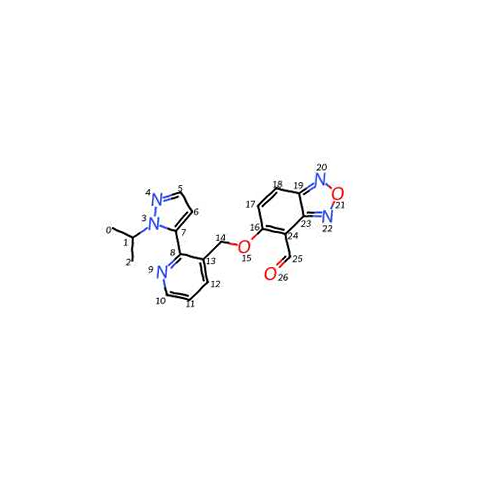 CC(C)n1nccc1-c1ncccc1COc1ccc2nonc2c1C=O